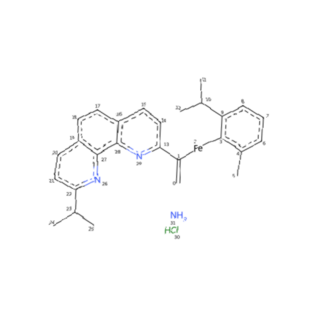 C=[C]([Fe][c]1c(C)cccc1C(C)C)c1ccc2ccc3ccc(C(C)C)nc3c2n1.Cl.N